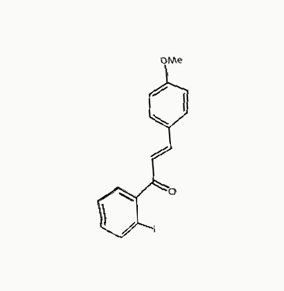 COc1ccc(C=CC(=O)c2ccccc2I)cc1